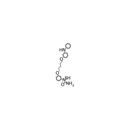 NC(=O)N(S)c1cccc(OCCCCCOc2cccc(Nc3ccccc3)c2)c1